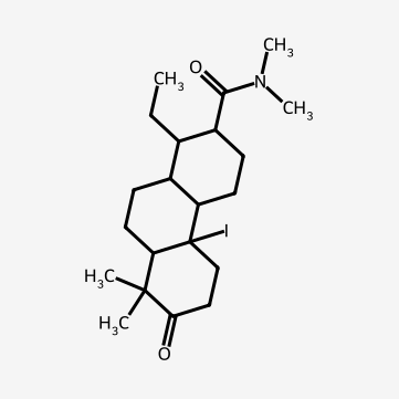 CCC1C(C(=O)N(C)C)CCC2C1CCC1C(C)(C)C(=O)CCC21I